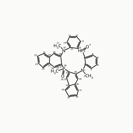 CN1c2ccccc2[PH](=O)c2ccccc2N(C)c2cc3ccccc3cc2P(C)(=O)c2cc3ccccc3cc21